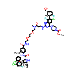 COc1cc(C(=O)NCCOCCOCCN(C)C(=O)CCNc2nc(N3CCN(C(=O)OC(C)(C)C)CC3)c3cc(Cl)c(C4=C(F)C=C[C@@H](CO)[C@@H]4C)c(F)c3n2)ccc1NC(=O)[C@@H]1N[C@@H](CC(C)(C)C)[C@](C#N)(c2ccc(Cl)cc2F)[C@H]1c1cccc(Cl)c1F